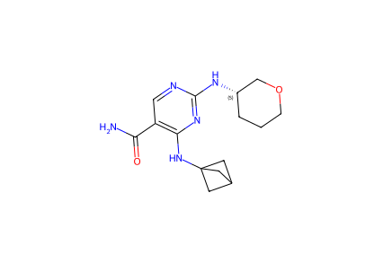 NC(=O)c1cnc(N[C@H]2CCCOC2)nc1NC12CC(C1)C2